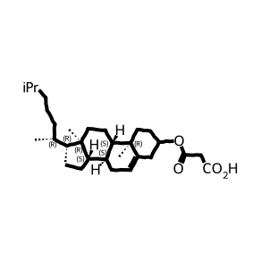 CC(C)CCC[C@@H](C)[C@H]1CC[C@H]2[C@@H]3CC=C4CC(OC(=O)CC(=O)O)CC[C@]4(C)[C@H]3CC[C@]12C